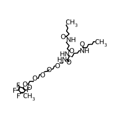 CCCCCC(=O)NCCCC[C@H](NC(=O)CCCNC(=O)CCCCC)C(=O)NCCOCCOCCOCCOCCC(=O)Oc1c(F)c(C)c(F)c(F)c1F